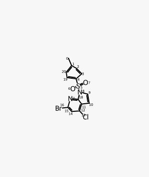 Cc1ccc(S(=O)(=O)n2ccc3c(Cl)cc(Br)nc32)cc1